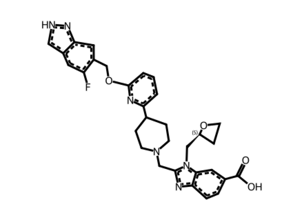 O=C(O)c1ccc2nc(CN3CCC(c4cccc(OCc5cc6n[nH]cc6cc5F)n4)CC3)n(C[C@@H]3CCO3)c2c1